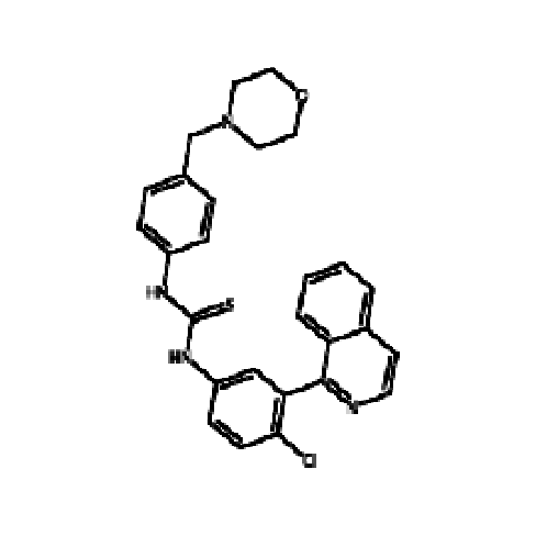 S=C(Nc1ccc(CN2CCOCC2)cc1)Nc1ccc(Cl)c(-c2nccc3ccccc23)c1